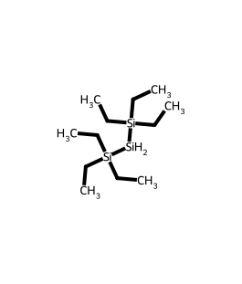 CC[Si](CC)(CC)[SiH2][Si](CC)(CC)CC